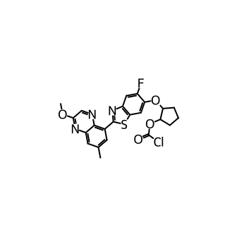 COc1cnc2c(-c3nc4cc(F)c(OC5CCCC5OC(=O)Cl)cc4s3)cc(C)cc2n1